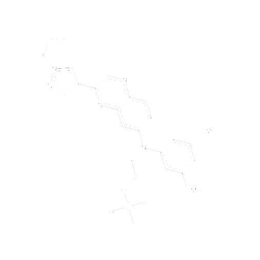 COc1cc(OC)cc(N(CCO[Si](C)(C)C(C)(C)C)c2ccc3ncc(-c4cnn(CC(=O)O)c4)nc3c2)c1